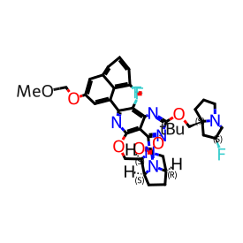 COCOc1cc(-c2nc3c4c(nc(OC[C@@]56CCCN5C[C@@H](F)C6)nc4c2F)N2C[C@H]4CC[C@@H]([C@H]2CO3)N4C(=O)OC(C)(C)C)c2c(F)cccc2c1